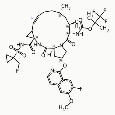 COc1cc2ccnc(O[C@@H]3C[C@H]4C(=O)N[C@]5(C(=O)NS(=O)(=O)C6(CF)CC6)CC5/C=C\CC[C@H](C)C[C@@H](C)[C@H](NC(=O)OC(C)(C)C(F)(F)F)C(=O)N4C3)c2cc1F